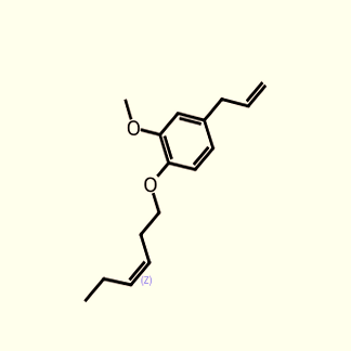 C=CCc1ccc(OCC/C=C\CC)c(OC)c1